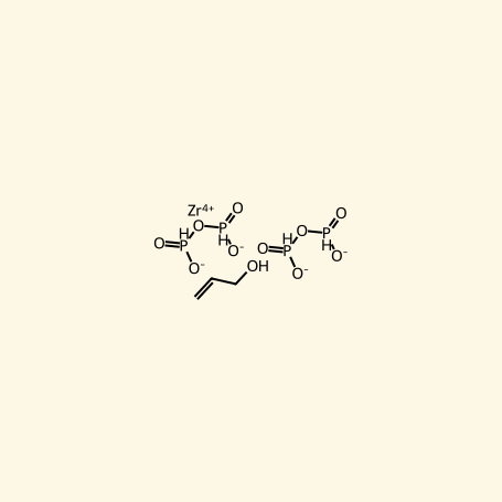 C=CCO.O=[PH]([O-])O[PH](=O)[O-].O=[PH]([O-])O[PH](=O)[O-].[Zr+4]